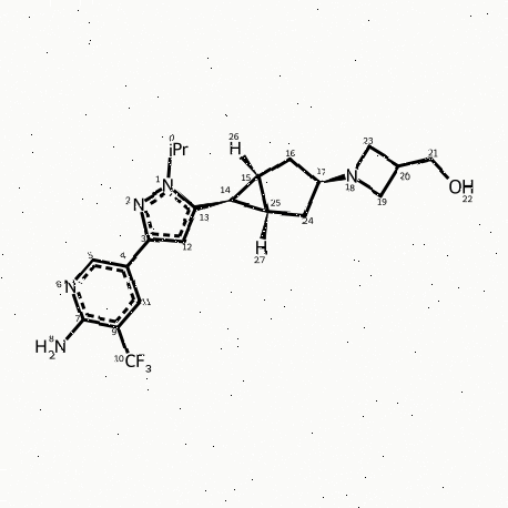 CC(C)n1nc(-c2cnc(N)c(C(F)(F)F)c2)cc1[C@H]1[C@@H]2C[C@@H](N3CC(CO)C3)C[C@@H]21